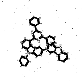 c1ccc(-c2nc(-c3ccccc3)nc(-c3cccc4c3c3cc(-c5ccc6oc7ccccc7c6c5)ccc3n4-c3ccccc3)n2)cc1